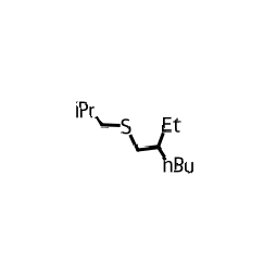 CCCCC(CC)CSCC(C)C